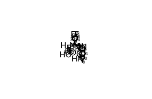 CC1CC(Cc2cnn3cc([C@@H](N)C4CCC(F)(F)CC4)nc3c2)C(=O)N1.O=C(O)C(F)(F)F